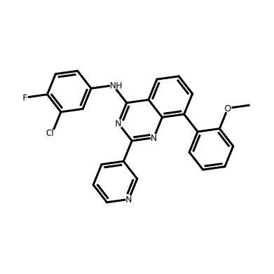 COc1ccccc1-c1cccc2c(Nc3ccc(F)c(Cl)c3)nc(-c3cccnc3)nc12